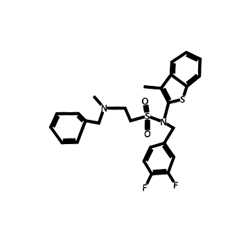 Cc1c(N(Cc2ccc(F)c(F)c2)S(=O)(=O)CCN(C)Cc2ccccc2)sc2ccccc12